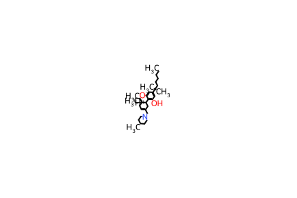 CCCCCCC(C)(C)c1cc(O)c2c(c1)OC(C)(C)[C@H]1CC=C(CN3CCC(C)CC3)CC21